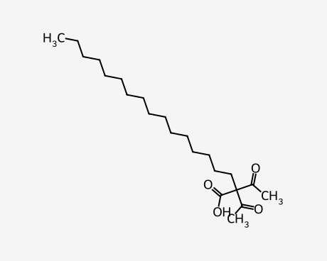 CCCCCCCCCCCCCCCCC(C(C)=O)(C(C)=O)C(=O)O